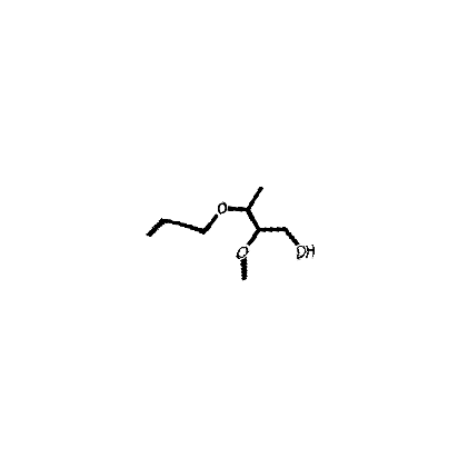 CCCOC(C)C(CO)OC